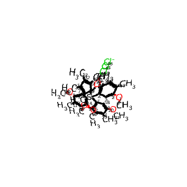 COc1cc([Si](c2cc(OC)c(C)cc2OC)(c2cc(OC)c(C)cc2OC)[C]2([Ti+3])C(C)=C(C)C(C)=C2C)c(OC)cc1C.[Cl-].[Cl-].[Cl-]